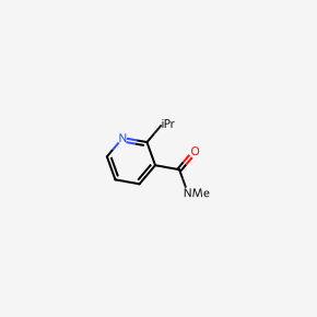 CNC(=O)c1cccnc1C(C)C